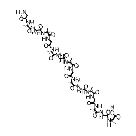 C[C@H](NC(=O)CNC(=O)[C@H](C)NC(=O)CNC(=O)[C@H](C)NC(=O)CNC(=O)[C@H](C)NC(=O)CNC(=O)[C@H](C)NC(=O)CNC(=O)[C@H](C)NC(=O)CNC(=O)[C@H](C)NC(=O)CNC(=O)[C@H](C)NC(=O)CN)C(=O)O